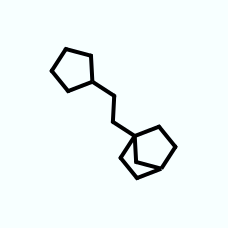 C1CCC(CCC23CCC(CC2)C3)C1